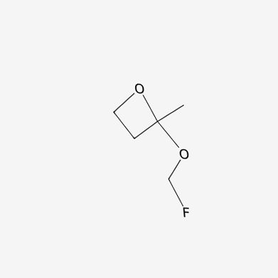 CC1(OCF)CCO1